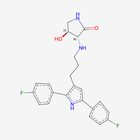 O=C1NC[C@H](O)[C@H]1NCCCc1cc(-c2ccc(F)cc2)[nH]c1-c1ccc(F)cc1